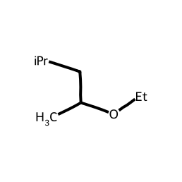 [CH2]COC(C)CC(C)C